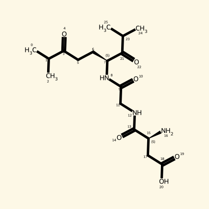 CC(C)C(=O)CC[C@H](NC(=O)CNC(=O)[C@@H](N)CC(=O)O)C(=O)C(C)C